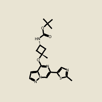 Cc1ncc(-c2cn3nccc3c(O[C@]3(C)C[C@H](NC(=O)OC(C)(C)C)C3)n2)s1